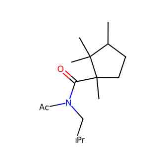 CC(=O)N(CC(C)C)C(=O)C1(C)CCC(C)C1(C)C